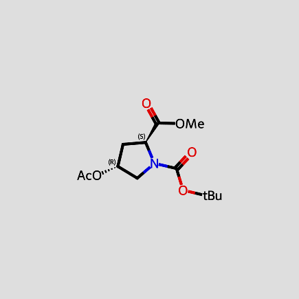 COC(=O)[C@@H]1C[C@@H](OC(C)=O)CN1C(=O)OC(C)(C)C